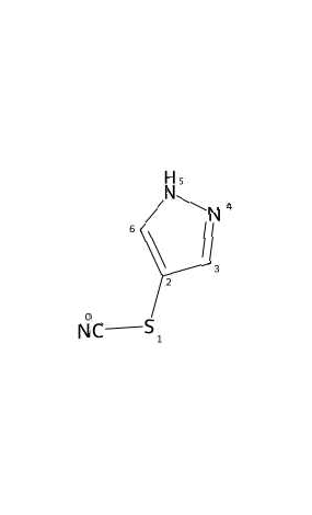 N#CSc1cn[nH]c1